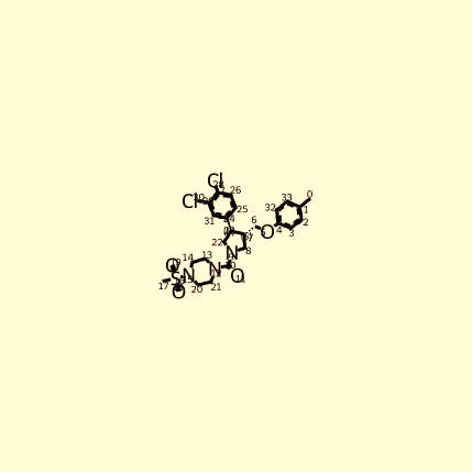 Cc1ccc(OC[C@@H]2CN(C(=O)N3CCN(S(C)(=O)=O)CC3)C[C@H]2c2ccc(Cl)c(Cl)c2)cc1